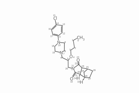 CCCCOC(CN1CCN(c2ccc(Cl)cc2)CC1)CN1C(=O)C2C3CC[C@@H](C3)[C@@H]2C1=O